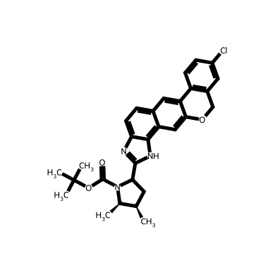 C[C@@H]1CC(c2nc3ccc4cc5c(cc4c3[nH]2)OCc2cc(Cl)ccc2-5)N(C(=O)OC(C)(C)C)[C@@H]1C